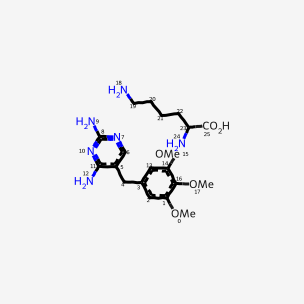 COc1cc(Cc2cnc(N)nc2N)cc(OC)c1OC.NCCCCC(N)C(=O)O